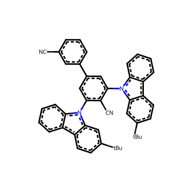 CC(C)(C)c1ccc2c3ccccc3n(-c3cc(-c4cccc(C#N)c4)cc(-n4c5ccccc5c5ccc(C(C)(C)C)cc54)c3C#N)c2c1